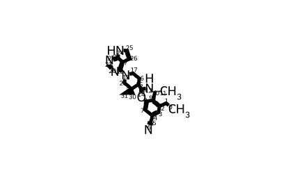 CCc1cc(C#N)ccc1[C@@H](C)NC(=O)C1CCN(c2ncnc3[nH]ccc23)CC12CC2